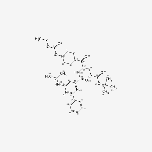 CCOC(=O)ON1CCN(C(=O)[C@H](CCC(=O)OC(C)(C)C)NC(=O)c2cc(NC(C)C)nc(-c3ccccc3)n2)CC1